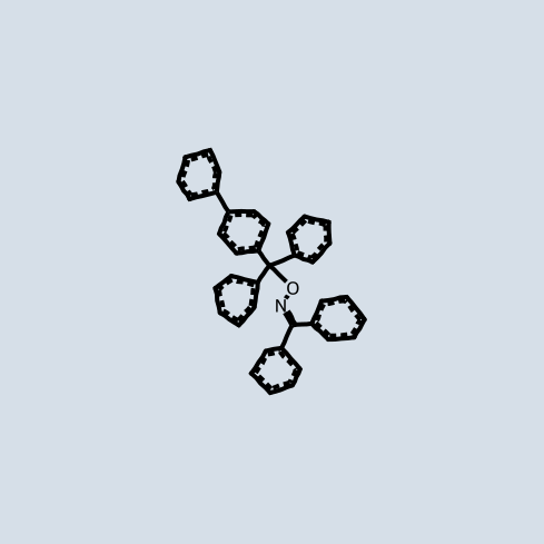 c1ccc(C(=NOC(c2ccccc2)(c2ccccc2)c2ccc(-c3ccccc3)cc2)c2ccccc2)cc1